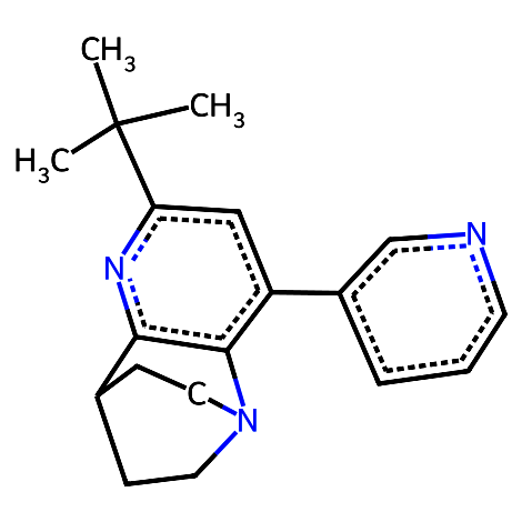 CC(C)(C)c1cc(-c2cccnc2)c2c(n1)C1CCN2CC1